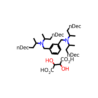 CCCCCCCCCCCC(C)N(Cc1cccc(CN(C(C)CCCCCCCCCCC)C(C)CCCCCCCCCCC)c1)C(C)CCCCCCCCCCC.O=C(O)C(O)C(O)C(=O)O